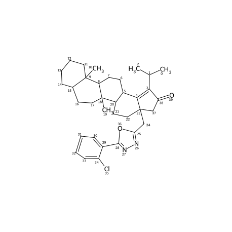 CC(C)C1=C2C3CCC4C5(C)CCCCC5CCC4(C)C3CCC2(Cc2nnc(-c3ccccc3Cl)o2)CC1=O